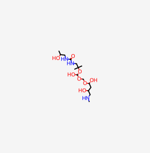 CNCC(O)CC(O)OCOC(O)OC(C)(C)CNC(=O)NCC(C)O